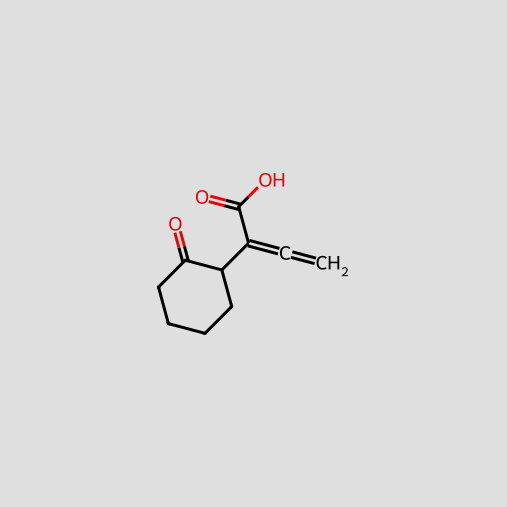 C=C=C(C(=O)O)C1CCCCC1=O